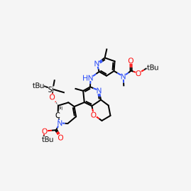 Cc1cc(N(C)C(=O)OC(C)(C)C)cc(Nc2nc3c(c(C4=CCN(C(=O)OC(C)(C)C)C[C@H](O[Si](C)(C)C(C)(C)C)C4)c2C)OCCC3)n1